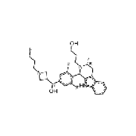 C[C@@H]1Cc2c([nH]c3ccccc23)C(c2c(F)cc([C@@H](O)C3CN(CCCF)C3)cc2F)N1CCCO